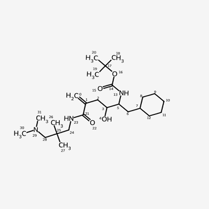 C=C(CC(O)C(CC1CCCCC1)NC(=O)OC(C)(C)C)C(=O)NCC(C)(C)CN(C)C